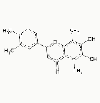 Cc1ccc(-c2cc(=O)c3c(C)c(O)c(O)c(C)c3o2)cc1C